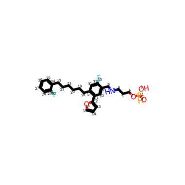 O=[PH](O)OCCCNCc1cc(-c2ccco2)c(CCCCCCc2ccccc2F)cc1F